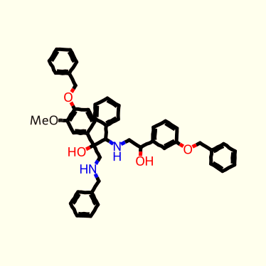 COc1cc(C(O)(CNCc2ccccc2)C(NCC(O)c2cccc(OCc3ccccc3)c2)c2ccccc2)ccc1OCc1ccccc1